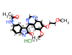 COCCOc1cc2ncnc(C3C(=O)Nc4ccc(NC(C)=O)cc43)c2cc1OC.Cl